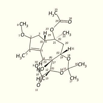 COC1C[C@H]2C(=C1C)[C@@H]1OC(=O)[C@@]3(C)OC(C)(C)O[C@@H](C[C@]2(C)OC(C)=O)[C@@]13O